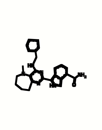 CN1CCCCc2nc(-c3[nH]cc4c(C(N)=O)cccc34)nc(NCc3ccccc3)c21